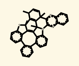 CC1C=CC2(C)C3=C1C1(C)Sc4cccc5c4C1=C1c4c(cccc4N(c4nc6ccccc6nc42)C13C)-c1ccccc1-5